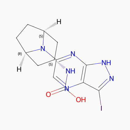 O=C(O)N[C@@H]1C[C@H]2CC[C@@H](C1)N2c1cnc2c(I)n[nH]c2n1